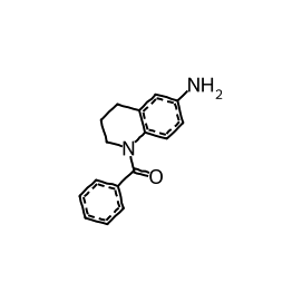 Nc1ccc2c(c1)CCCN2C(=O)c1ccccc1